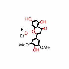 CCOCC.COc1cc(-c2cc(=O)c3c(O)cc(O)cc3o2)cc(OC)c1O